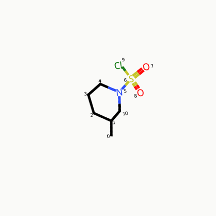 CC1CCCN(S(=O)(=O)Cl)C1